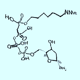 B[C@H]1CC(O)[C@@H](COP(=O)(O)OP(=O)(O)OP(=O)(O)CP(=O)(O)OCCCCCCNC)O1